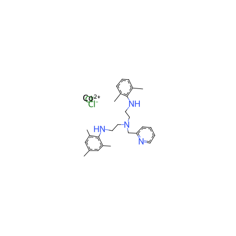 Cc1cc(C)c(NCCN(CCNc2c(C)cccc2C)Cc2ccccn2)c(C)c1.[Cl-].[Cl-].[Co+2]